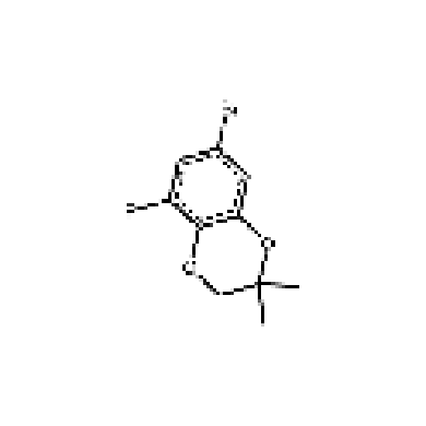 CC1(C)COc2c(F)cc(Br)cc2O1